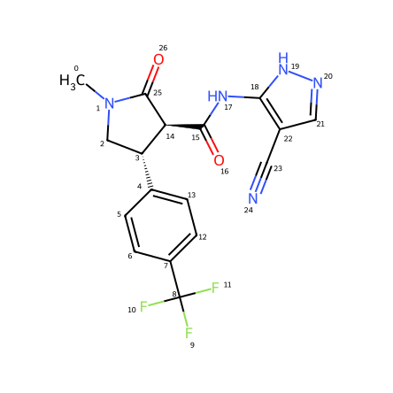 CN1C[C@@H](c2ccc(C(F)(F)F)cc2)[C@H](C(=O)Nc2[nH]ncc2C#N)C1=O